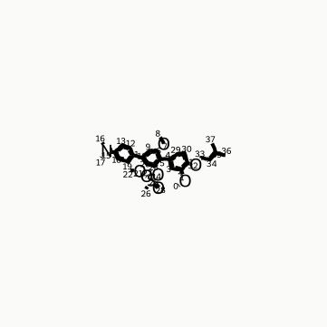 COc1cc(-c2c(OC)cc(-c3ccc(N(C)C)cc3)c(OC)c2OS(C)(=O)=O)ccc1OCC=C(C)C